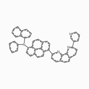 c1ccc(N(c2cccc3ccccc23)c2ccc3ccc4c(-c5ccc6ccc7ccc(-c8cccnc8)nc7c6n5)ccc5ccc2c3c54)cc1